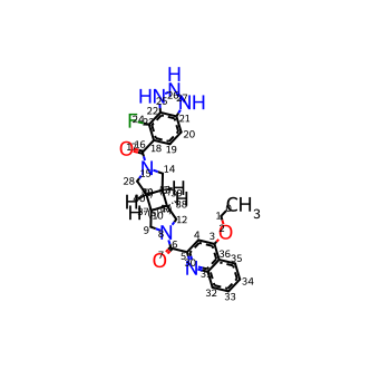 CCOc1cc(C(=O)N2C[C@@H]3[C@H](C2)[C@H]2CN(C(=O)c4ccc5c(c4F)NNN5)C[C@@H]32)nc2ccccc12